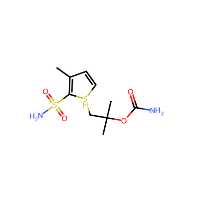 CC1=C(S(N)(=O)=O)[SH](CC(C)(C)OC(N)=O)C=C1